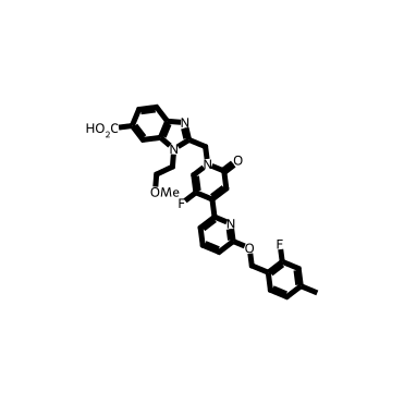 COCCn1c(Cn2cc(F)c(-c3cccc(OCc4ccc(C)cc4F)n3)cc2=O)nc2ccc(C(=O)O)cc21